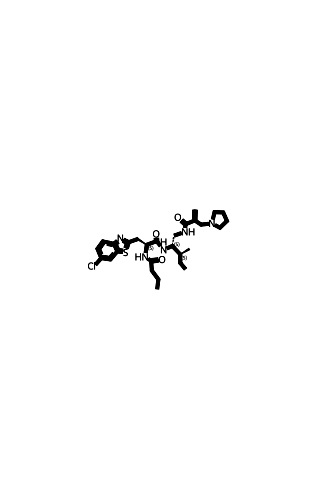 C=C(CN1CCCC1)C(=O)NC[C@@H](NC(=O)[C@H](Cc1nc2ccc(Cl)cc2s1)NC(=O)CCC)[C@@H](C)CC